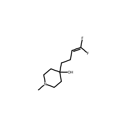 CN1CCC(O)(CCC=C(F)F)CC1